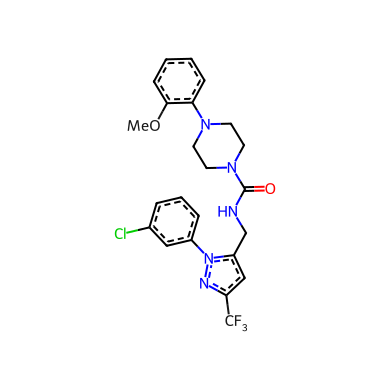 COc1ccccc1N1CCN(C(=O)NCc2cc(C(F)(F)F)nn2-c2cccc(Cl)c2)CC1